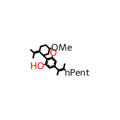 CCCCCC(C)=C(C)c1cc(O)c2c(c1)OC1(OC)CCC(=C(C)C)C2C1